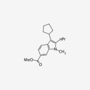 CCCc1c(C2CCCC2)c2ccc(C(=O)OC)cc2n1C